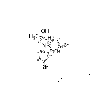 CC(C)(O)Cn1c2ccc(Br)cc2c2cc(Br)ccc21